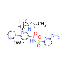 COc1ncccc1-c1ccc(C(=O)NS(=O)(=O)c2cccc(N)n2)c(N2CC(C)CC2(C)C)n1